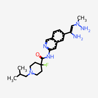 CC(C)CN1CCC(F)(C(=O)Nc2cc3cc(/C(N)=C/N(C)N)ccc3cn2)CC1